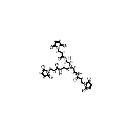 O=C(CCN1C(=O)C=CC1=O)NCCN(CCNC(=O)CCN1C(=O)C=CC1=O)CCNC(=O)CCN1C(=O)C=CC1=O